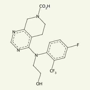 O=C(O)N1CCc2c(ncnc2N(CCO)c2ccc(F)cc2C(F)(F)F)C1